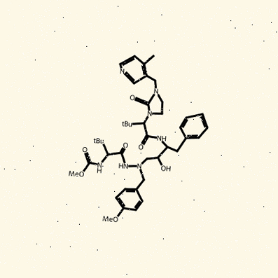 COC(=O)NC(C(=O)NN(Cc1ccc(OC)cc1)CC(O)C(Cc1ccccc1)NC(=O)C(N1CCN(Cc2cnccc2C)C1=O)C(C)(C)C)C(C)(C)C